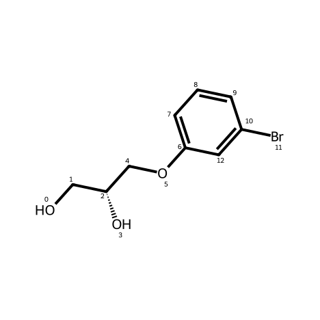 OC[C@@H](O)COc1cccc(Br)c1